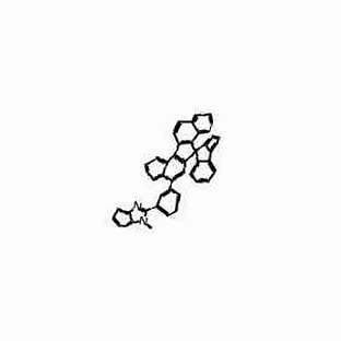 Cn1c(-c2cccc(-c3cc4c(c5ccccc35)-c3ccc5ccccc5c3C43c4ccccc4-c4ccccc43)c2)nc2ccccc21